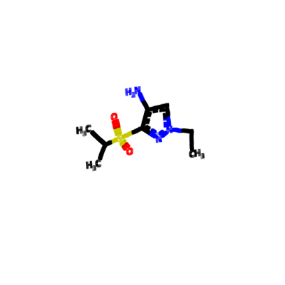 CCn1cc(N)c(S(=O)(=O)C(C)C)n1